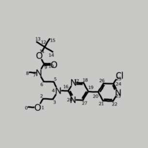 COCCN(CCN(C)C(=O)OC(C)(C)C)c1ncc(-c2ccnc(Cl)c2)cn1